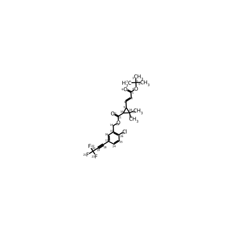 CC(C)(C)OC(=O)C=CC1C(C(=O)OCc2cc(C#CC(F)(F)F)ccc2Cl)C1(C)C